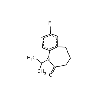 CC(C)N1C(=O)CCCc2cc(F)ccc21